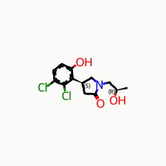 C[C@@H](O)CN1C[C@H](c2c(O)ccc(Cl)c2Cl)CC1=O